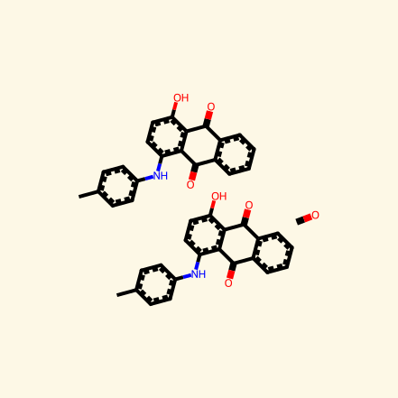 C=O.Cc1ccc(Nc2ccc(O)c3c2C(=O)c2ccccc2C3=O)cc1.Cc1ccc(Nc2ccc(O)c3c2C(=O)c2ccccc2C3=O)cc1